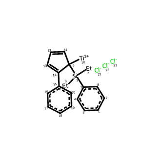 CC[Si](CC)(c1ccccc1)[C]1([Ti+3])C=CC=C1c1ccccc1.[Cl-].[Cl-].[Cl-]